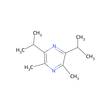 Cc1nc(C)c(C(C)C)nc1C(C)C